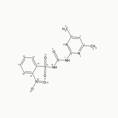 Cc1cc(C)nc(NC(=O)NS(=O)(=O)c2ccccc2[N+](=O)[O-])n1